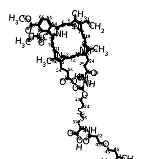 C=CC1=C(C)c2cc3[nH]c(cc4nc(cc5[nH]c(cc1n2)c(C)c5CCC(=O)NNC(=O)OCCSSC[C@@H](NC(=O)CCOCCC(C)C)C(=O)O)C(CCC(=O)OC)=C4C)[C@]1(C)C3=CC=C(C(=O)OC)[C@@H]1C(=O)OC